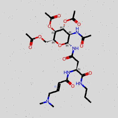 CCCNC(=O)[C@H](CC(=O)N[C@@H]1O[C@H](COC(C)=O)[C@@H](OC(C)=O)[C@H](OC(C)=O)[C@H]1NC(C)=O)NC(=O)/C=C/CN(C)C